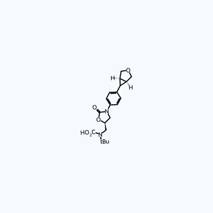 CC(C)(C)N(C[C@@H]1CN(c2ccc(C3[C@H]4COC[C@@H]34)cc2)C(=O)O1)C(=O)O